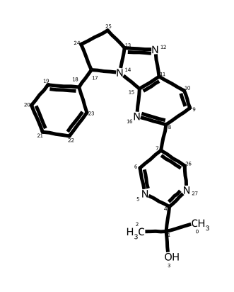 CC(C)(O)c1ncc(-c2ccc3nc4n(c3n2)C(c2ccccc2)CC4)cn1